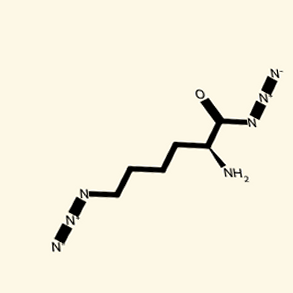 [N-]=[N+]=NCCCC[C@H](N)C(=O)N=[N+]=[N-]